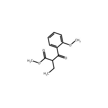 CCC(C(=O)OC)C(=O)c1ccccc1OC